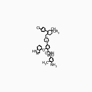 Cc1cc(S(=O)(=O)NC(=O)c2ccc(N3CCN(CC4=C(c5ccc(Cl)cc5)CC(C)(C)CC4)CC3)cc2Oc2cccc3[nH]ncc23)ccc1N